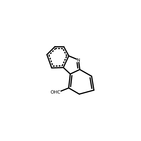 O=CC1=C2C(=Nc3ccccc32)C=CC1